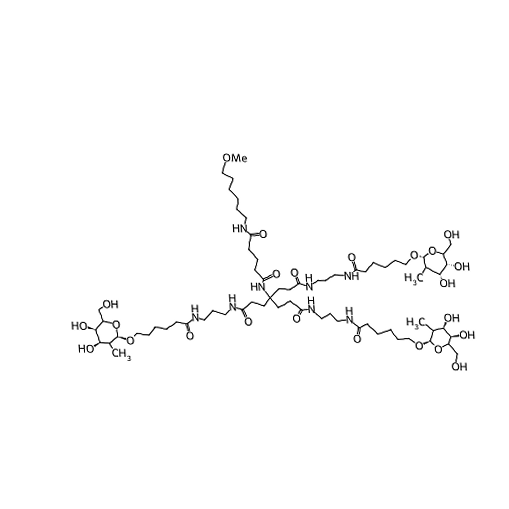 COCCCCCCNC(=O)CCCC(=O)NC(CCC(=O)NCCCNC(=O)CCCCCO[C@@H]1OC(CO)[C@H](O)[C@H](O)C1C)(CCC(=O)NCCCNC(=O)CCCCCO[C@@H]1OC(CO)[C@H](O)[C@H](O)C1C)CCC(=O)NCCCNC(=O)CCCCCO[C@@H]1OC(CO)[C@H](O)[C@H](O)C1C